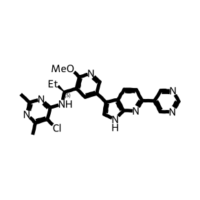 CC[C@H](Nc1nc(C)nc(C)c1Cl)c1cc(-c2c[nH]c3nc(-c4cncnc4)ccc23)cnc1OC